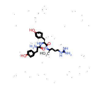 N=C(N)NCCC[C@H](NC(=O)[C@H](Cc1ccc(O)cc1)NC(=O)[C@@H](N)Cc1ccc(O)cc1)C(=O)O